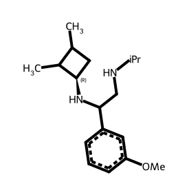 COc1cccc(C(CNC(C)C)N[C@@H]2CC(C)C2C)c1